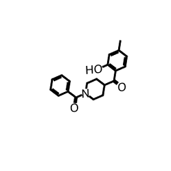 Cc1ccc(C(=O)C2CCN(C(=O)c3ccccc3)CC2)c(O)c1